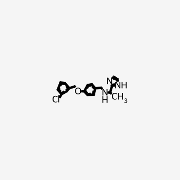 CC(NCc1ccc(OCc2cccc(Cl)c2)cc1)c1ncc[nH]1